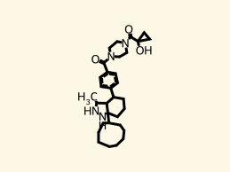 CC1NNC2(C3CCCCCCCC3)CCCC(c3ccc(C(=O)N4CCN(C(=O)C5(O)CC5)CC4)cc3)C12